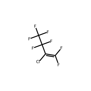 FC(F)=C(Cl)C(F)(F)C(F)(F)F